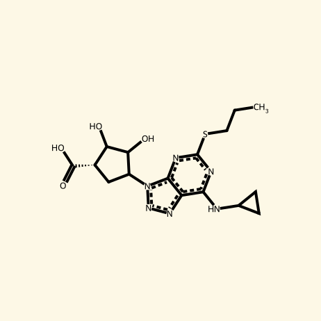 CCCSc1nc(NC2CC2)c2nnn(C3C[C@H](C(=O)O)C(O)C3O)c2n1